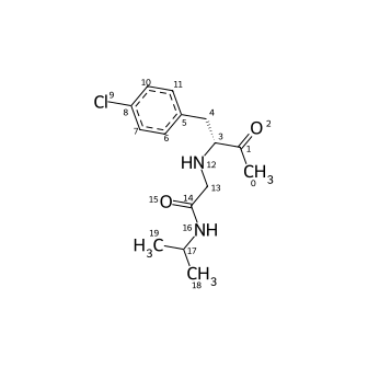 CC(=O)[C@@H](Cc1ccc(Cl)cc1)NCC(=O)NC(C)C